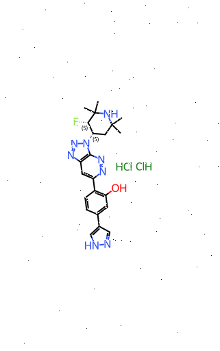 CC1(C)C[C@H](n2nnc3cc(-c4ccc(-c5cn[nH]c5)cc4O)nnc32)[C@H](F)C(C)(C)N1.Cl.Cl